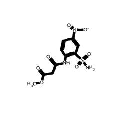 COC(=O)CC(=O)Nc1ccc([N+](=O)[O-])cc1S(N)(=O)=O